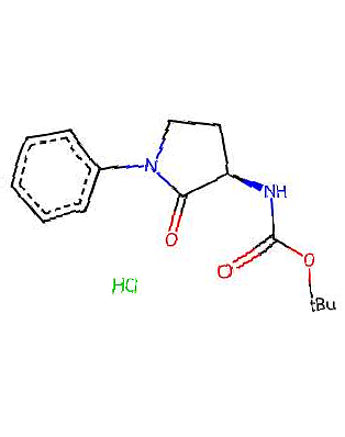 CC(C)(C)OC(=O)N[C@@H]1CCN(c2ccccc2)C1=O.Cl